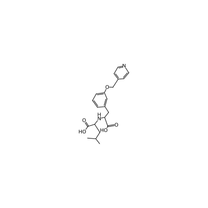 CC(C)CC(NC(Cc1cccc(OCc2ccncc2)c1)C(=O)O)C(=O)O